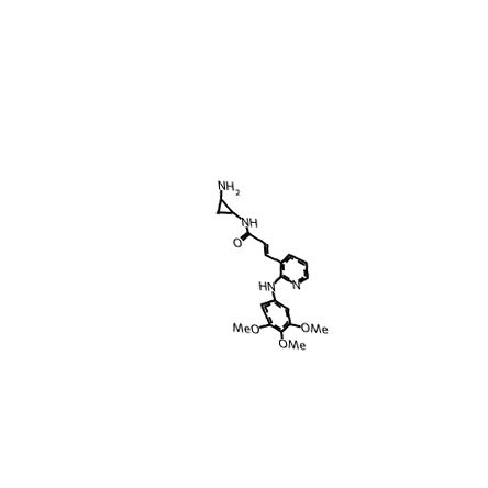 COc1cc(Nc2ncccc2/C=C/C(=O)NC2CC2N)cc(OC)c1OC